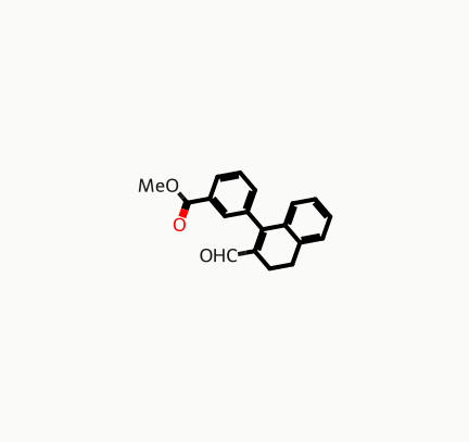 COC(=O)c1cccc(C2=C(C=O)CCc3ccccc32)c1